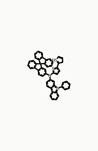 C1=C[SH]=C(c2ccc(N(c3ccc4c(c3)C3(c5ccccc5-c5ccccc53)c3ccccc3-4)c3ccc4c5ccccc5n(-c5ccccc5)c4c3)s2)C1